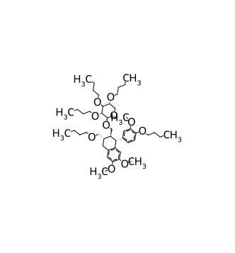 CCCCOC[C@H]1Cc2cc(OC)c(OC)cc2[C@@H](c2ccc(OCCCC)c(OC)c2)[C@@H]1CO[C@@H]1OC[C@@H](OCCCC)[C@H](OCCCC)[C@H]1OCCCC